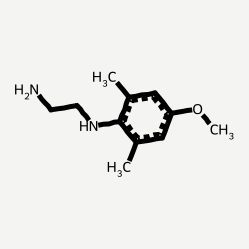 COc1cc(C)c(NCCN)c(C)c1